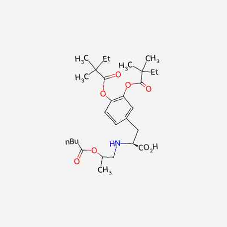 CCCCC(=O)OC(C)CN[C@@H](Cc1ccc(OC(=O)C(C)(C)CC)c(OC(=O)C(C)(C)CC)c1)C(=O)O